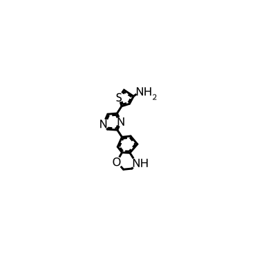 Nc1csc(-c2cncc(-c3ccc4c(c3)OCCN4)n2)c1